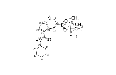 CC1(C)OB(c2cnc3scc(C(=O)NC4CCCCC4)c3c2)OC1(C)C